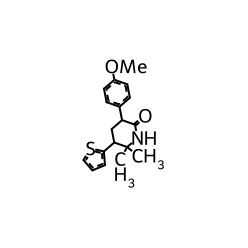 COc1ccc(C2CC(c3cccs3)C(C)(C)NC2=O)cc1